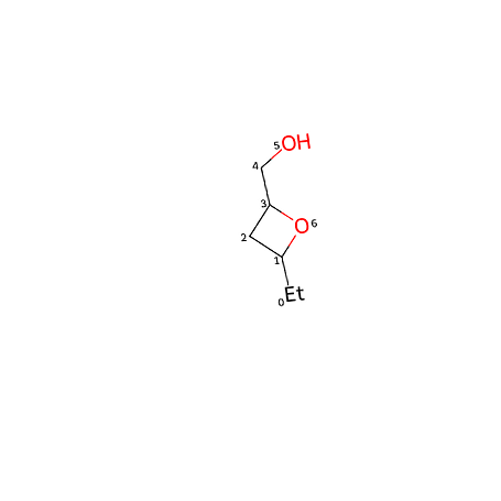 CCC1CC(CO)O1